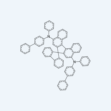 c1ccc(-c2ccc(N(c3ccccc3)c3cc4c(c5ccccc35)-c3c(cc(N(c5ccccc5)c5ccc(-c6ccccc6)cc5)c5ccccc35)C43c4ccccc4-c4ccccc43)cc2)cc1